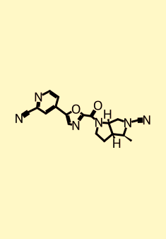 C[C@H]1[C@@H]2CCN(C(=O)c3ncc(-c4ccnc(C#N)c4)o3)[C@@H]2CN1C#N